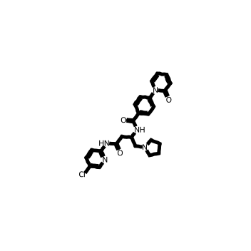 O=C(CC(CN1CCCC1)NC(=O)c1ccc(-n2ccccc2=O)cc1)Nc1ccc(Cl)cn1